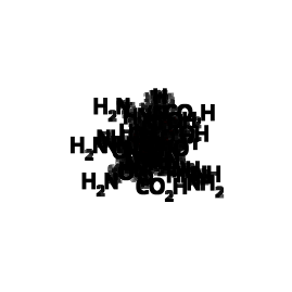 CC(C)C[C@@H](NC(=O)[C@@H](N)CCCNC(=N)N)C(=O)N[C@H](Cc1ccc(O)cc1)C(=O)N[C@@H](Cc1ccccc1)C(=O)N[C@@H](CCCCN)C(=O)N[C@@H](CCC(=O)O)C(=O)N[C@H](CCCCN)C(=O)N[C@@H](CCCNC(=N)N)C(=O)N[C@H](Cc1c[nH]c2ccccc12)C(=O)N[C@@H](CCCCN)C(=O)N[C@H](Cc1ccccc1)C(=O)N[C@@H](Cc1ccc(O)cc1)C(=O)O